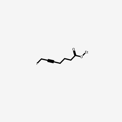 CCOC(=O)CCCC#CCI